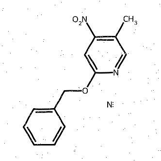 Cc1cnc(OCc2ccccc2)cc1[N+](=O)[O-].[N]